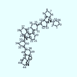 c1ccc(-n2c3ccccc3c3cc(-c4cccc(-c5cccc6c5c5ccccc5n6-c5cccc(-c6ccc7oc8ncccc8c7c6)c5)c4)ccc32)cc1